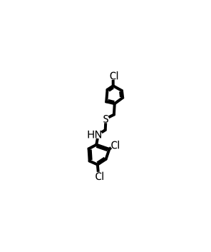 Clc1ccc(CSCNc2ccc(Cl)cc2Cl)cc1